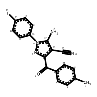 Cc1ccc(C(=O)c2nn(-c3ccc(F)cc3)c(N)c2C#N)cc1